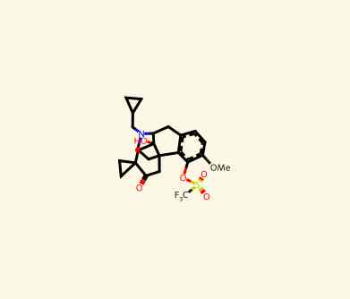 COc1ccc2c(c1OS(=O)(=O)C(F)(F)F)C13CCN(CC4CC4)C(C2)C1(O)CC1(CC1)C(=O)C3